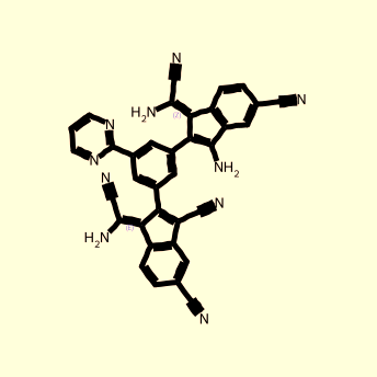 N#CC1=C(c2cc(C3=C(N)c4cc(C#N)ccc4/C3=C(/N)C#N)cc(-c3ncccn3)c2)/C(=C(/N)C#N)c2ccc(C#N)cc21